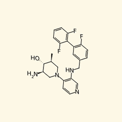 C[C@H]1CN(c2ccncc2NCc2ccc(F)c(-c3c(F)cccc3F)c2)C[C@@H](N)[C@@H]1O